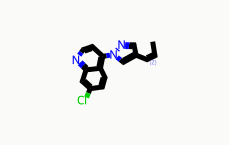 C/C=C\c1cnn(-c2ccnc3cc(Cl)ccc23)c1